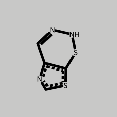 C1=NNSc2scnc21